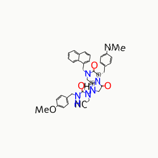 CNc1ccc(C[C@H]2C(=O)N(Cc3cccc4ccccc34)C[C@H]3N2C(=O)CN3N(CC#N)C(=O)NCc2ccc(OC)cc2)cc1